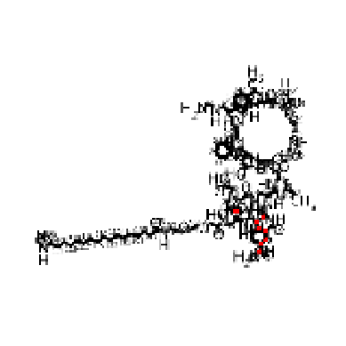 C=C(C[C@@H]1NC(=O)[C@H](CCCNCN)NC(=O)[C@@H](Cc2ccccc2)NC(=O)[C@@H]2C[C@@H](O)CN2C(=O)[C@@H](NC(=O)[C@H](CCCC)NC(=O)C(CNC(=O)CN(CC(=O)O)CC(=O)O)NC(=O)[C@H](Cc2ccc(O)cc2)NC(=O)[C@H](CCC(N)=O)NC(=O)[C@H](CO)NC(=O)CNC(=O)COCCOCCNC(=O)CCCCCCCCCCCCCCCc2nnn[nH]2)CCC(=O)NCCCC[C@@H](C(N)=O)NC1=O)c1ccccc1